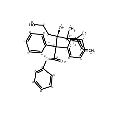 CC=C(CC)C(C)(C)[C@@](O)(CCO)C(C(=O)Oc1ccccc1)(c1ccccc1)c1ccccc1